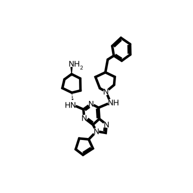 N[C@H]1CC[C@H](Nc2nc(NN3CCC(Cc4ccccc4)CC3)c3ncn(C4C=CCC4)c3n2)CC1